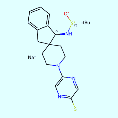 CC(C)(C)[S@@+]([O-])N[C@@H]1c2ccccc2CC12CCN(c1cnc([S-])cn1)CC2.[Na+]